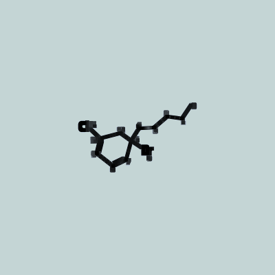 CCCCCC1(Br)C=CC=C(Cl)C1